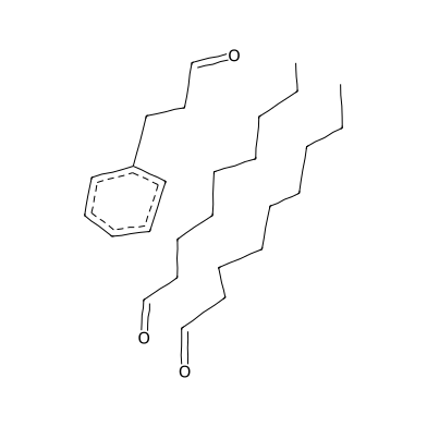 CCCCCCCCC=O.CCCCCCCCC=O.O=CCCc1ccccc1